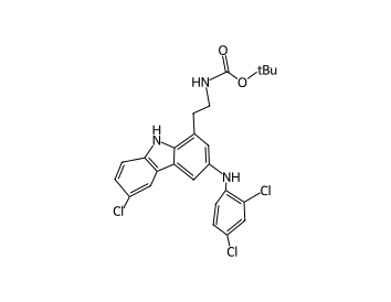 CC(C)(C)OC(=O)NCCc1cc(Nc2ccc(Cl)cc2Cl)cc2c1[nH]c1ccc(Cl)cc12